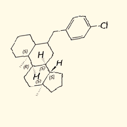 C[C@@]12CCC[C@H]1[C@@H]1CC(Cc3ccc(Cl)cc3)C3CCCC[C@]3(C)[C@@H]1CC2